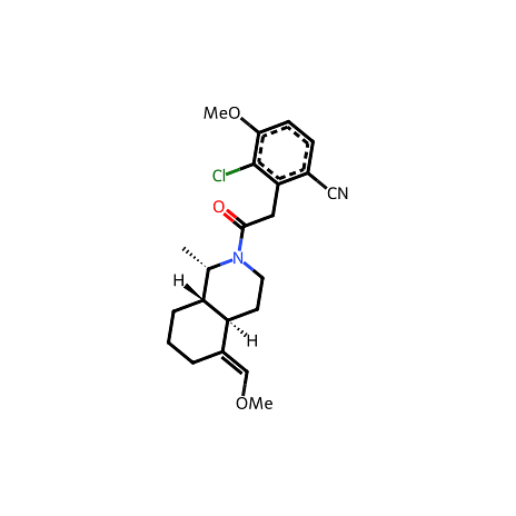 CO/C=C1\CCC[C@H]2[C@H]1CCN(C(=O)Cc1c(C#N)ccc(OC)c1Cl)[C@H]2C